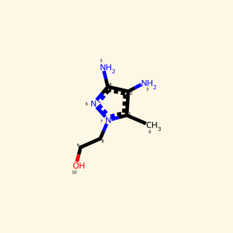 Cc1c(N)c(N)nn1CCO